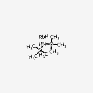 C[Si](C)(C)N[Si](C)(C)C.[RbH]